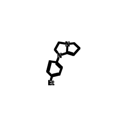 CCc1ccc(N2CCN3CCC=C32)cc1